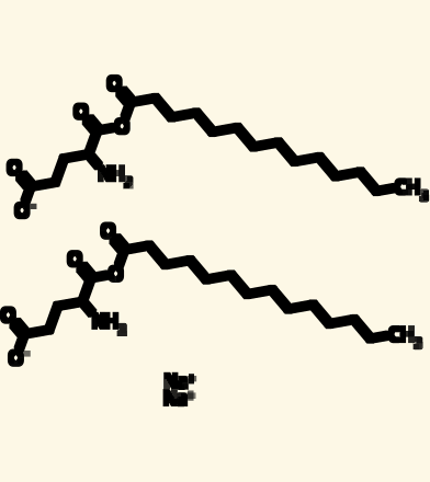 CCCCCCCCCCCCCC(=O)OC(=O)C(N)CCC(=O)[O-].CCCCCCCCCCCCCC(=O)OC(=O)C(N)CCC(=O)[O-].[Na+].[Na+]